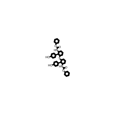 O=C(Nc1cccc(Sc2cccc(NC(=O)Oc3ccccc3)c2-c2ccc(O)cc2)c1-c1ccc(O)cc1)Oc1ccccc1